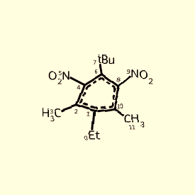 CCc1c(C)c([N+](=O)[O-])c(C(C)(C)C)c([N+](=O)[O-])c1C